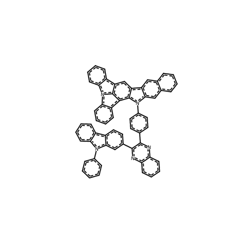 c1ccc(-n2c3ccccc3c3ccc(-c4nc5ccccc5nc4-c4ccc(-n5c6cc7ccccc7cc6c6cc7c8ccccc8n8c9ccccc9c(c65)c78)cc4)cc32)cc1